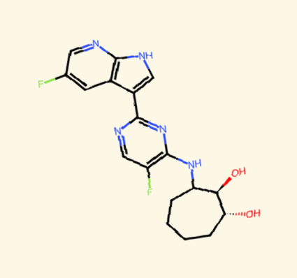 O[C@@H]1CCCCC(Nc2nc(-c3c[nH]c4ncc(F)cc34)ncc2F)[C@H]1O